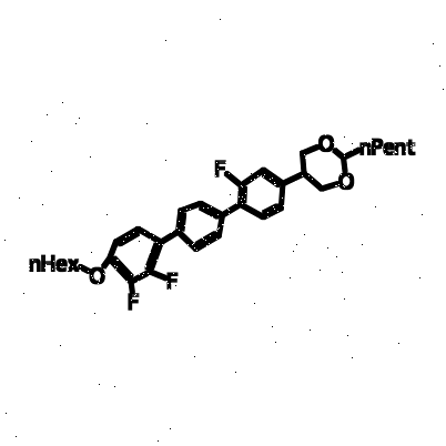 CCCCCCOc1ccc(-c2ccc(-c3ccc(C4COC(CCCCC)OC4)cc3F)cc2)c(F)c1F